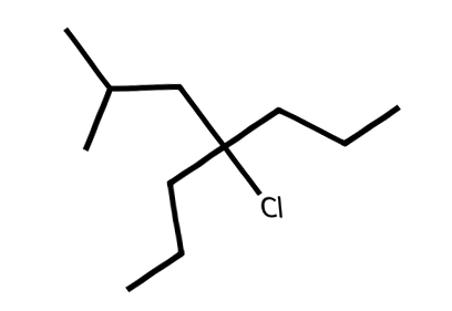 CCCC(Cl)(CCC)CC(C)C